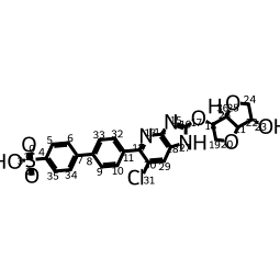 O=S(=O)(O)c1ccc(-c2ccc(-c3nc4nc(O[C@@H]5COC6[C@H](O)CO[C@@H]65)[nH]c4cc3Cl)cc2)cc1